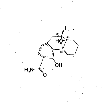 NC(=O)c1ccc2c(c1O)[C@@]13CCCC[C@@]1(O)[C@H](CCC3)C2